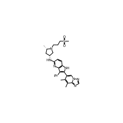 Cc1c(-c2[nH]c3ccc(N[C@@H]4C[C@H](C)N(CCCS(C)(=O)=O)C4)nc3c2C(C)C)cn2ncnc2c1C